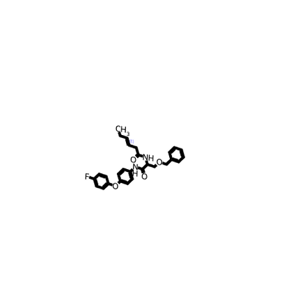 CC/C=C/CC(=O)NC(COCc1ccccc1)C(=O)Nc1ccc(Oc2ccc(F)cc2)cc1